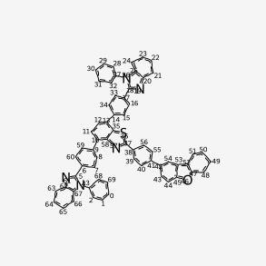 c1ccc(-n2c(-c3ccc(-c4ccc(-c5ccc(-c6nc7ccccc7n6-c6ccccc6)cc5)c5sc(-c6ccc(-c7ccc8oc9ccccc9c8c7)cc6)nc45)cc3)nc3ccccc32)cc1